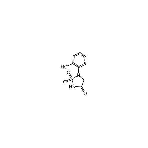 O=C1CN(c2ccc[c]c2O)S(=O)(=O)N1